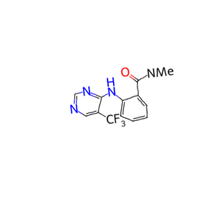 CNC(=O)c1ccccc1Nc1ncncc1C(F)(F)F